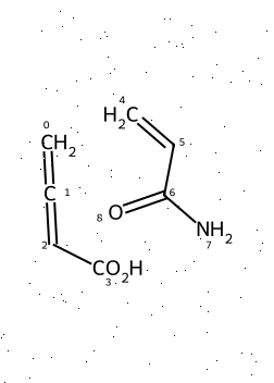 C=C=CC(=O)O.C=CC(N)=O